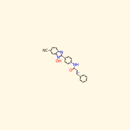 N#Cc1ccc2nc(-c3ccc(NC(=O)/C=C/c4ccccc4)cc3)n(O)c2c1